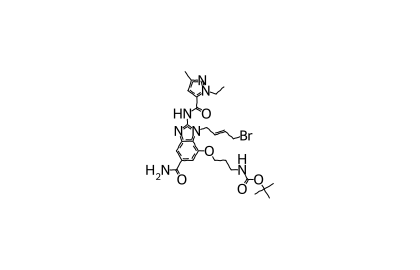 CCn1nc(C)cc1C(=O)Nc1nc2cc(C(N)=O)cc(OCCCNC(=O)OC(C)(C)C)c2n1C/C=C/CBr